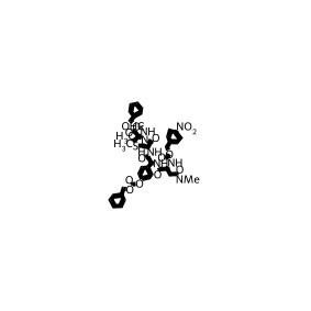 CNC(=O)CC(NC(=O)OCc1ccc([N+](=O)[O-])cc1)C(=O)NC(C(=O)N[C@@H]1C(=O)N2[C@@H]1SC(C)(C)[C@]2(NC=O)C(=O)OCc1ccccc1)c1ccc(OC(=O)OCc2ccccc2)cc1